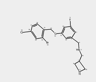 Fc1cc(CNCC2CNC2)cc(OCc2ccc(Cl)cc2Br)c1